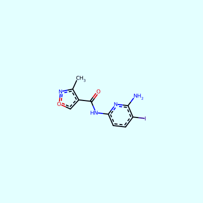 Cc1nocc1C(=O)Nc1ccc(I)c(N)n1